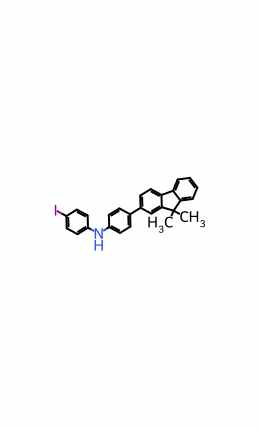 CC1(C)c2ccccc2-c2ccc(-c3ccc(Nc4ccc(I)cc4)cc3)cc21